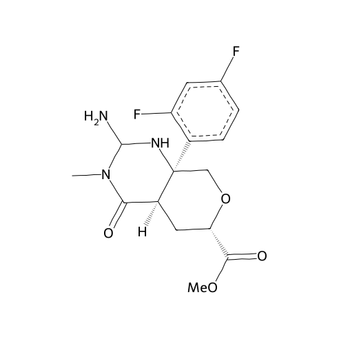 COC(=O)[C@@H]1C[C@H]2C(=O)N(C)C(N)N[C@@]2(c2ccc(F)cc2F)CO1